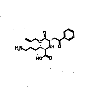 C=CCOC(=O)[C@H](CC(=O)c1ccccc1)N[C@@H](CCCCN)C(=O)O